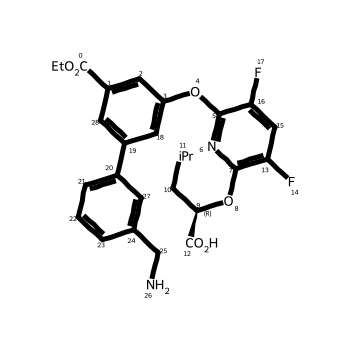 CCOC(=O)c1cc(Oc2nc(O[C@H](CC(C)C)C(=O)O)c(F)cc2F)cc(-c2cccc(CN)c2)c1